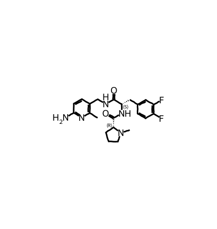 Cc1nc(N)ccc1CNC(=O)[C@H](Cc1ccc(F)c(F)c1)NC(=O)[C@H]1CCCN1C